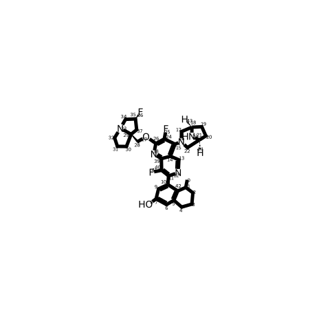 CC1CCCc2cc(O)cc(-c3ncc4c(N5C[C@H]6CC[C@@H](C5)N6)c(F)c(OC[C@@]56CCCN5C[C@H](F)C6)nc4c3F)c21